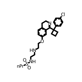 CCCS(=O)(=O)NCCNCCOc1ccc2c(c1)C(C1(c3ccc(Cl)cc3)CCC1)=NCC2